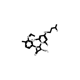 C/C=N\c1cc(N2C(=O)[C@H](N)C2[PH]2=C(F)C=C(NCCC(C)F)C=C2P)ccc1C